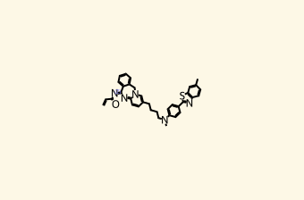 C=CC(=O)/N=C1\N=C2C=CC(CCCCN(C)c3ccc(-c4nc5ccc(C)cc5s4)cc3)=CN2Cc2ccccc21